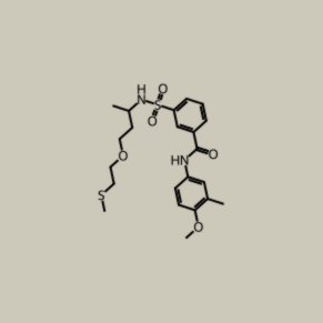 COc1ccc(NC(=O)c2cccc(S(=O)(=O)NC(C)CCOCCSC)c2)cc1C